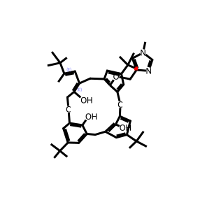 C/C(=C\C1=C(\O)CCc2cc(C(C)(C)C)cc(c2O)Cc2cc(C(C)(C)C)cc(c2O)Cc2cc(C(C)(C)C)cc(c2OCc2cn(C)cn2)C1)C(C)(C)C